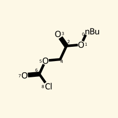 CCCCOC(=O)COC(=O)Cl